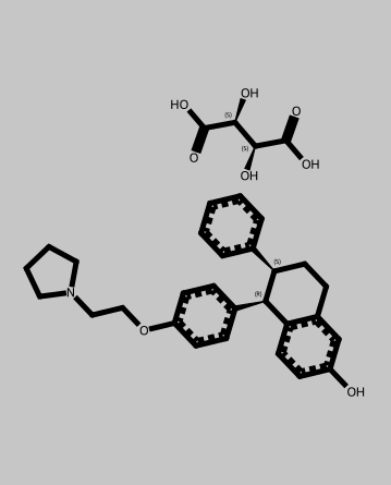 O=C(O)[C@@H](O)[C@H](O)C(=O)O.Oc1ccc2c(c1)CC[C@H](c1ccccc1)[C@@H]2c1ccc(OCCN2CCCC2)cc1